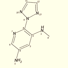 CNc1cc(N)cnc1-n1nccn1